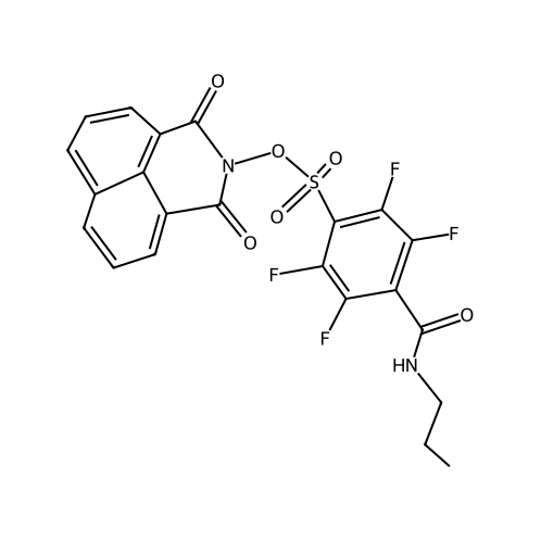 CCCNC(=O)c1c(F)c(F)c(S(=O)(=O)ON2C(=O)c3cccc4cccc(c34)C2=O)c(F)c1F